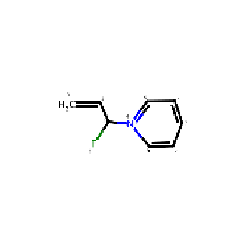 C=CC(F)[n+]1ccccc1